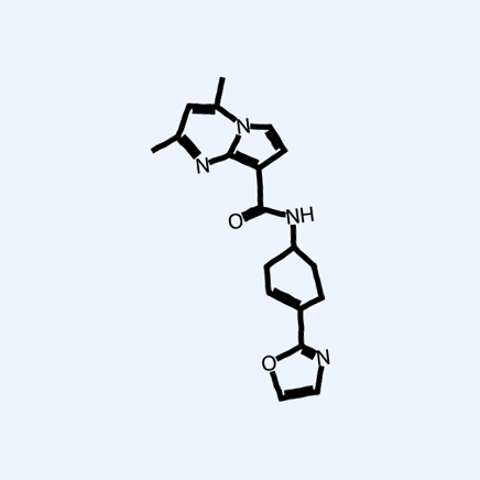 Cc1cc(C)n2ccc(C(=O)NC3CC=C(c4ncco4)CC3)c2n1